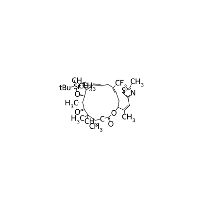 C/C(=C/c1csc(C)n1)C1C/C=C(/C(F)(F)F)C/C=C/[C@H](C)[C@H](O[Si](C)(C)C(C)(C)C)[C@@H](C)C(=O)C(C)(C)[C@@H](C)CC(=O)O1